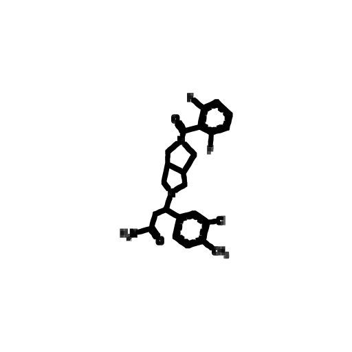 Cc1ccc(C(CC(N)=O)N2CC3CN(C(=O)c4c(F)cccc4F)CC3C2)cc1Cl